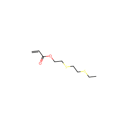 C=CC(=O)OCCSCCSCC